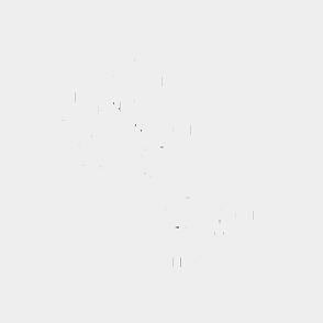 Cc1cc(-c2ccc(CO)c(S(C)(=O)=O)c2)ccc1-n1cc(C(C)(C)O)nc1-c1ccccc1C(F)(F)F